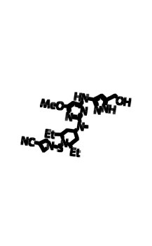 CCC1CC(N(C)c2nc(Nc3cc(CO)[nH]n3)cc(OC)n2)CC(CC)N1SN1CC(C#N)C1